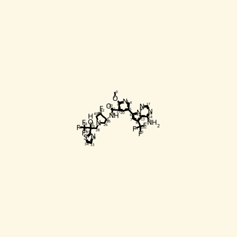 COc1ncc(-c2cc(C(F)(F)F)c3c(N)ncnn23)cc1C(=O)N[C@@H]1CN(CC(O)(c2nccs2)C(F)(F)F)C[C@@H]1F